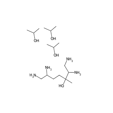 CC(C)O.CC(C)O.CC(C)O.CC(O)(CCC(N)CN)C(N)CN